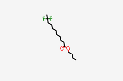 CCCCOC(=O)CCCCCCCCC(C)(F)F